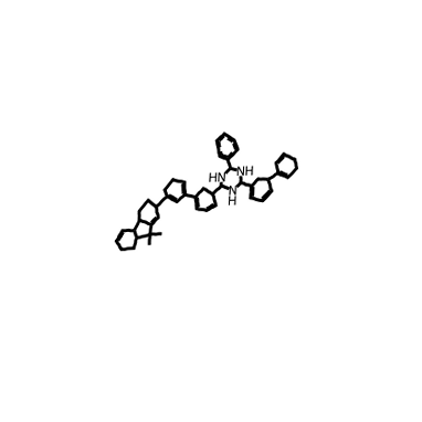 CC1(C)C2=CC(C3=CC(C4=CC=CC(C5NC(C6=CC=CC(C7=CCCC=C7)C6)NC(c6ccccc6)N5)C4)=CCC3)CCC2C2C=CCCC21